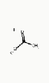 CC(=O)Cl.[I-].[K+]